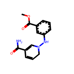 COC(=O)c1cccc(NN2C=C(C(N)=O)C=CC2)c1